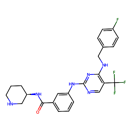 O=C(N[C@@H]1CCCNC1)c1cccc(Nc2ncc(C(F)(F)F)c(NCc3ccc(F)cc3)n2)c1